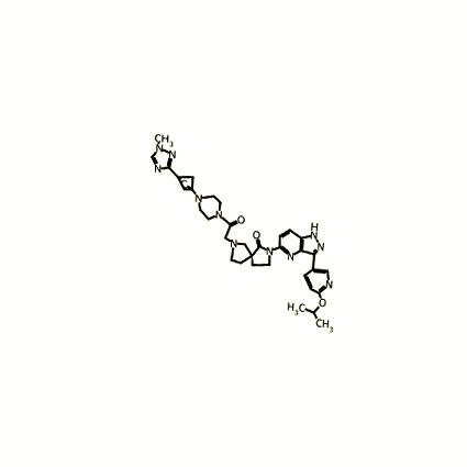 CC(C)Oc1ccc(-c2n[nH]c3ccc(N4CC[C@]5(CCN(CC(=O)N6CCN(C78CC(c9ncn(C)n9)(C7)C8)CC6)C5)C4=O)nc23)cn1